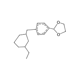 CCC1CCCC(Cc2ccc(C3OCCO3)cc2)C1